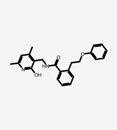 Cc1cc(C)c(CNC(=O)c2ccccc2CCOc2ccccc2)c(O)n1